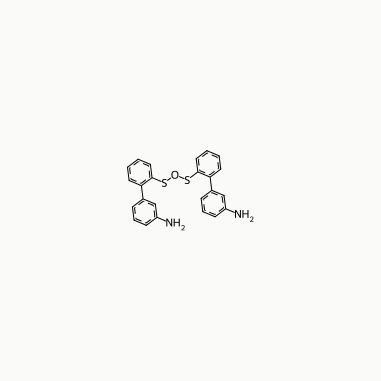 Nc1cccc(-c2ccccc2SOSc2ccccc2-c2cccc(N)c2)c1